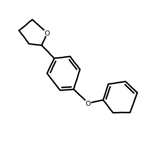 C1=CCCC(Oc2ccc(C3CCCO3)cc2)=C1